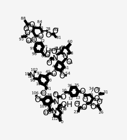 C=C1C[C@H]2C(O)N(C(=O)OCc3ccc(OC4O[C@H](OC(C)=O)[C@H](OC(C)=O)[C@@H](OC(C)=O)[C@H]4C)cc3)c3cc(OCc4cc(COc5cc6c(cc5OC)C(=O)N5CC(=C)C[C@H]5C(O)N6C(=O)OCc5ccc(OC6O[C@H](COC(C)=O)[C@H](C)[C@H](OC(C)=O)[C@H]6OC(C)=O)cc5)cc(CN(C)C)c4)c(OC)cc3C(=O)N2C1